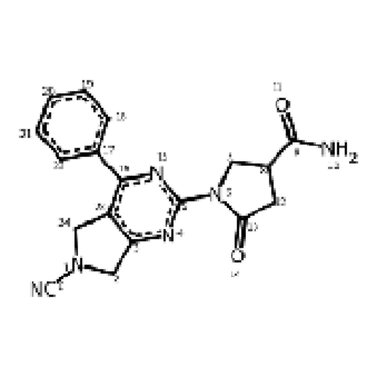 N#CN1Cc2nc(N3CC(C(N)=O)CC3=O)nc(-c3ccccc3)c2C1